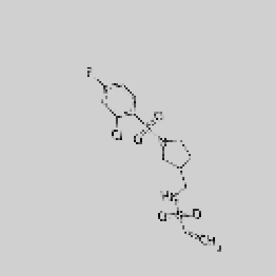 C=CS(=O)(=O)NCC1CCN(S(=O)(=O)c2ccc(F)cc2Cl)C1